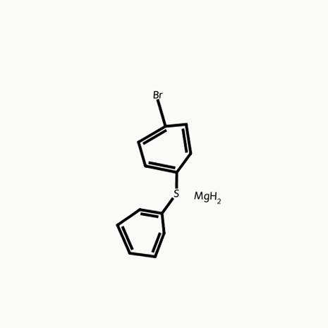 Brc1ccc(Sc2ccccc2)cc1.[MgH2]